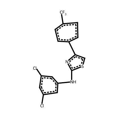 FC(F)(F)c1ccc(-c2csc(Nc3cc(Cl)cc(Cl)c3)n2)cc1